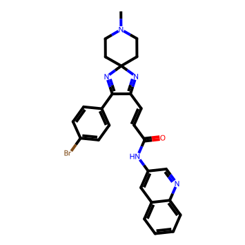 CN1CCC2(CC1)N=C(C=CC(=O)Nc1cnc3ccccc3c1)C(c1ccc(Br)cc1)=N2